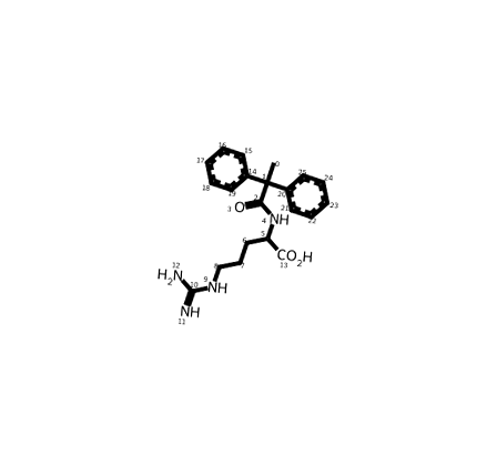 CC(C(=O)NC(CCCNC(=N)N)C(=O)O)(c1ccccc1)c1ccccc1